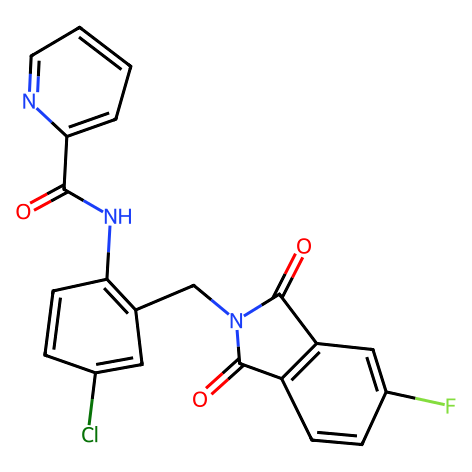 O=C(Nc1ccc(Cl)cc1CN1C(=O)c2ccc(F)cc2C1=O)c1ccccn1